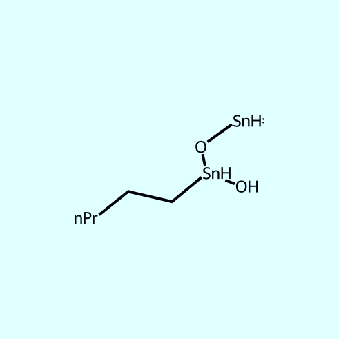 CCCC[CH2][SnH]([OH])[O][SnH]